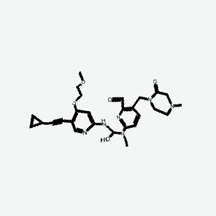 COCCOc1cc(NC(O)N(C)c2ccc(CN3CCN(C)CC3=O)c(C=O)n2)ncc1C#CC1CC1